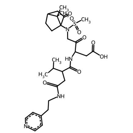 CC(C)C(CC(=O)NCCc1ccncc1)C(=O)NC(CC(=O)O)C(=O)CN(C12CCC(CC1=O)C2(C)C)S(C)(=O)=O